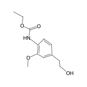 CCOC(=O)Nc1ccc(CCO)cc1OC